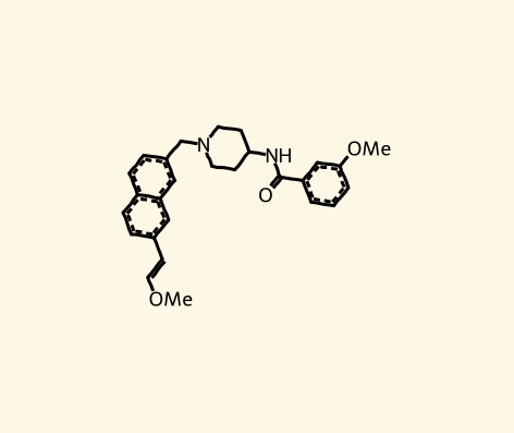 CO/C=C/c1ccc2ccc(CN3CCC(NC(=O)c4cccc(OC)c4)CC3)cc2c1